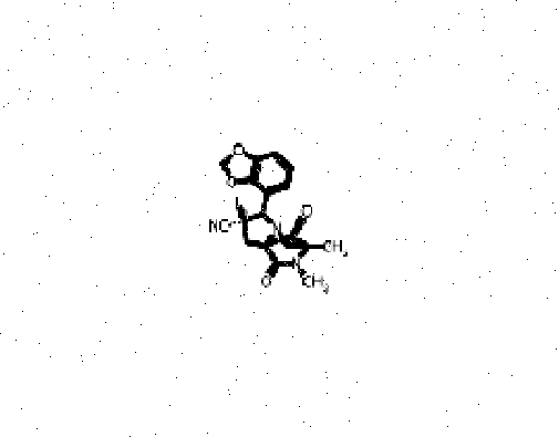 CN1C(=O)C23C[C@](I)(C#N)C(c4cccc5c4OCO5)N2C(=O)C1(C)SS3